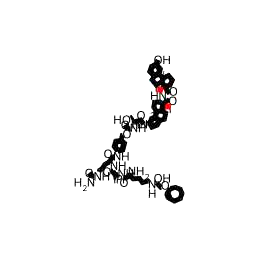 CC(C)[C@H](NC(=O)[C@H](N)CCCCNC(O)COC1C#CCCCCC1)C(=O)NC(CCCNC(N)=O)C(=O)Nc1ccc(COC(=O)N[C@@H](CO)C(=O)Nc2ccc3c(c2)[C@@]2(C)CCC[C@](C)(C(=O)NC(=O)[C@@]4(C)CCC[C@]5(C)c6cc(O)ccc6CC[C@@H]45)[C@@H]2CC3)cc1